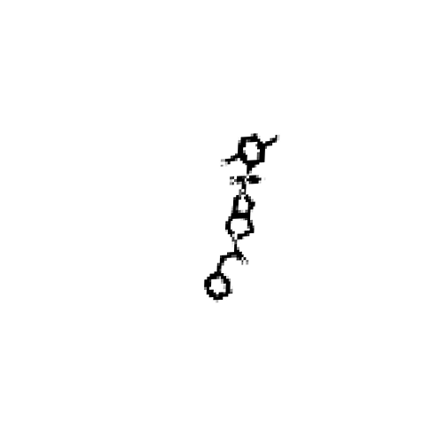 O=C(Cc1ccccc1)N1CC2=C(C1)CN(S(=O)(=O)c1cc(F)ccc1Cl)C2